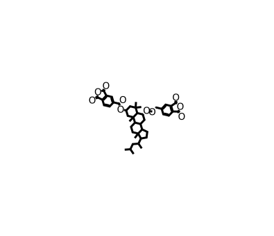 CC(C)CC(C)C1CCC2C3CC(OOCc4ccc5c(c4)C(=O)OC5=O)C4C(C)(C)CC(OC(=O)c5ccc6c(c5)C(=O)OC6=O)CC4(C)C3CCC12C